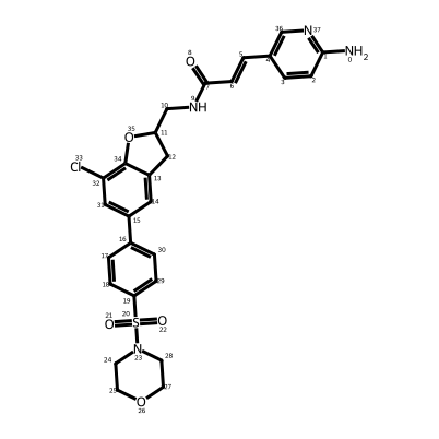 Nc1ccc(C=CC(=O)NCC2Cc3cc(-c4ccc(S(=O)(=O)N5CCOCC5)cc4)cc(Cl)c3O2)cn1